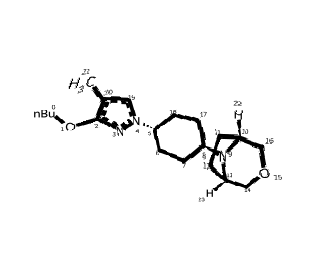 CCCCOc1nn([C@H]2CC[C@H](N3[C@@H]4CC[C@H]3COC4)CC2)cc1C